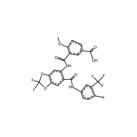 COc1ccc(C(=O)O)cc1C(=O)Nc1cc2c(cc1C(=O)Nc1ccc(F)c(C(F)(F)F)c1)OC(F)(F)O2